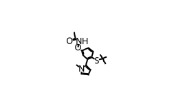 CC(=O)NOc1ccc(SC(C)(C)C)c(-c2cccn2C)c1